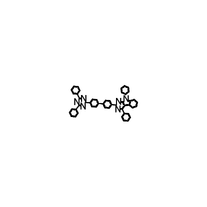 c1ccc(-c2nc(-c3ccccc3)nc(-c3ccc(-c4ccc(-c5nc(-c6ccccc6)c6c7ccccc7n(-c7ccccc7)c6n5)cc4)cc3)n2)cc1